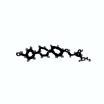 C[C@H]1O[C@@H]1COc1ccc(N2CCN(c3ccc(Cl)cc3)CC2)cc1